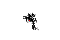 COc1ccc(CCS(=O)(=O)Nc2nn(C)c3c(-n4c([C@H](Cc5cc(F)cc(F)c5)NC(=O)O)nc5nc(Cl)ccc5c4=O)ccc(Cl)c23)cc1